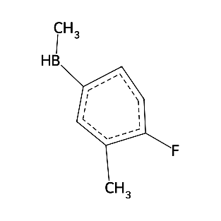 CBc1ccc(F)c(C)c1